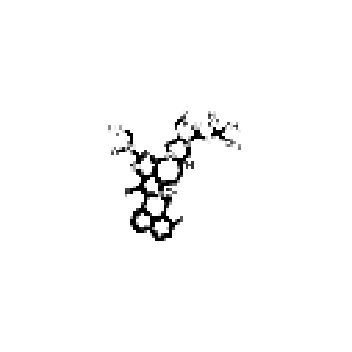 C#Cc1c(F)ccc2cccc(-c3nc4c5c(nc([S+]([O-])CC)nc5c3F)N3C[C@@H](CC)N(C(=O)OC(C)(C)C)C[C@H]3CC4)c12